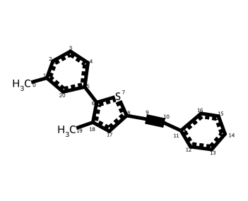 Cc1cccc(-c2sc(C#Cc3ccccc3)cc2C)c1